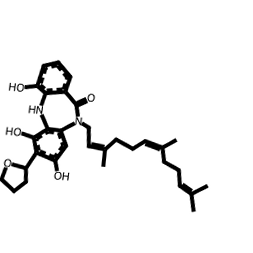 CC(C)=CCCC(C)=CCCC(C)=CCN1C(=O)c2cccc(O)c2Nc2c1cc(O)c(C1CCCO1)c2O